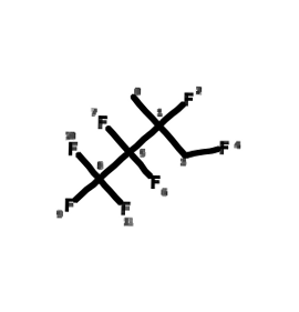 CC(F)(CF)C(F)(F)C(F)(F)F